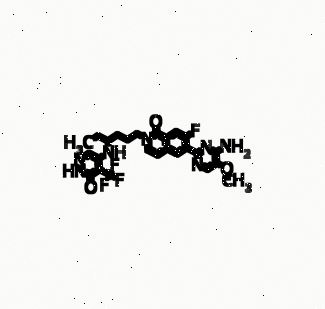 CCC(CCCn1ccc2cc(-c3ncc(OC)c(N)n3)c(F)cc2c1=O)Nc1cn[nH]c(=O)c1C(F)(F)F